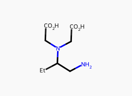 CCC(CN)N(CC(=O)O)CC(=O)O